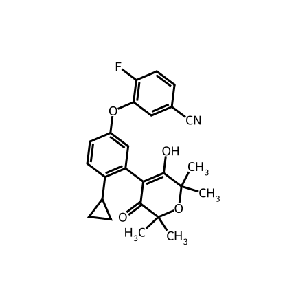 CC1(C)OC(C)(C)C(O)=C(c2cc(Oc3cc(C#N)ccc3F)ccc2C2CC2)C1=O